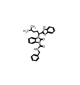 CC(C)CCC(c1nc2ccccc2[nH]1)n1c(=O)n(C(=O)NCc2ccccc2)c2ccccc21